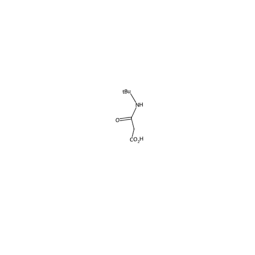 CC(C)(C)NC(=O)CC(=O)O